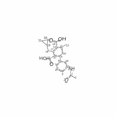 CC(=O)Nc1cccc(-c2cc(C)c(C(=O)O)c(CC3CC3)c2C(=O)O)c1